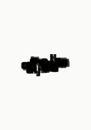 C/C=C(/C)OC(=O)N1CCCC(CNC(=O)c2cccc3[nH]c(NC(=O)c4cc5ccccc5cn4)nc23)C1